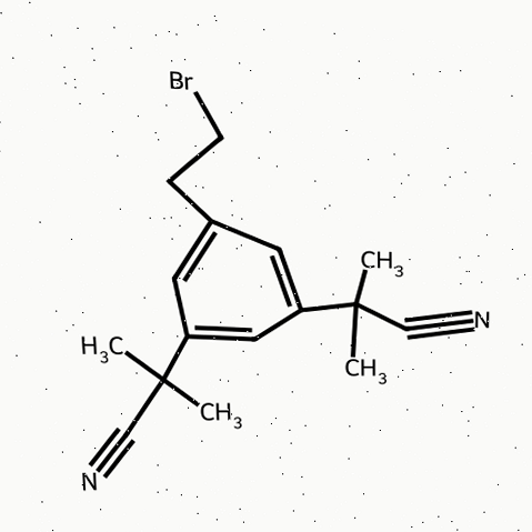 CC(C)(C#N)c1cc(CCBr)cc(C(C)(C)C#N)c1